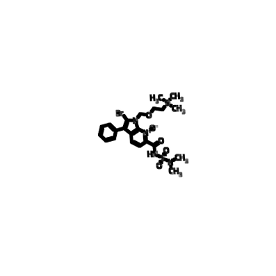 CN(C)S(=O)(=O)NC(=O)c1ccc2c(-c3ccccc3)c(Br)n(COCC[Si](C)(C)C)c2[n+]1[O-]